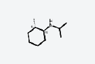 CC(C)N[C@H]1CCCC[C@@H]1C